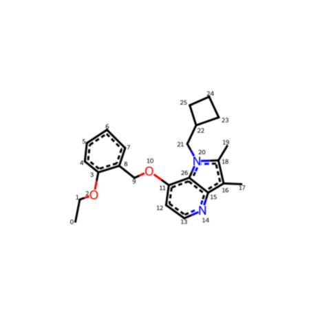 CCOc1ccccc1COc1ccnc2c(C)c(C)n(CC3CCC3)c12